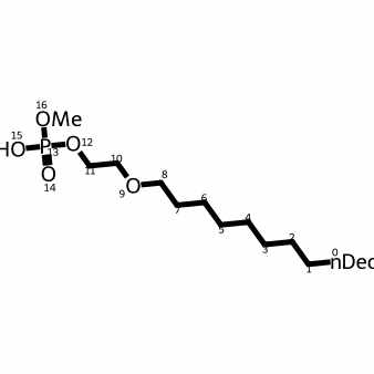 CCCCCCCCCCCCCCCCCCOCCOP(=O)(O)OC